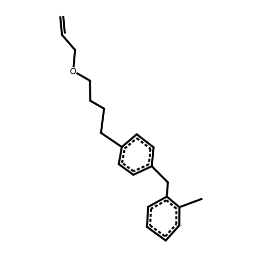 C=CCOCCCCc1ccc(Cc2ccc[c]c2C)cc1